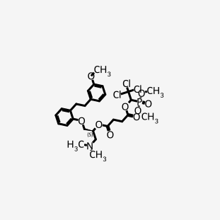 COc1cccc(CCc2ccccc2OC[C@H](CN(C)C)OC(=O)CCC(=O)OC(C(Cl)(Cl)Cl)P(=O)(OC)OC)c1